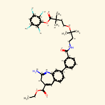 CCOC(=O)C1=Cc2ccc(-c3cccc(C(=O)NCCC(C)(C)OCCC(C)(C)C(=O)Oc4c(F)c(F)cc(F)c4F)c3)cc2N=C(N)C1